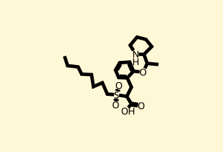 CCCCCCCCS(=O)(=O)C(Cc1ccccc1OC(C)C1CCCCN1)C(=O)O